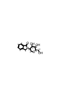 O=C1c2ccccc2CN1[C@@H]1CO[C@H](CO)[C@H](O)[C@@H]1O